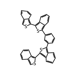 c1cc(-c2sc(-c3scc4ccccc34)c3ccccc23)cc(-c2sc(-c3scc4ccccc34)c3ccccc23)c1